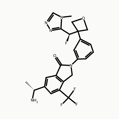 C[C@@H](N)c1cc2c(c(C(F)(F)F)c1)CN(c1cccc(C3([C@@H](F)c4nncn4C)COC3)c1)C2=O